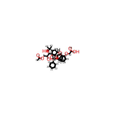 CC(=O)OCC(O)[C@@H](O)C1(O[SiH](c2ccccc2)c2ccccc2)[C@@H]2Oc3cccc(OCC(=O)O)c3O[C@H]2C[C@@H]1C(C)(C)C